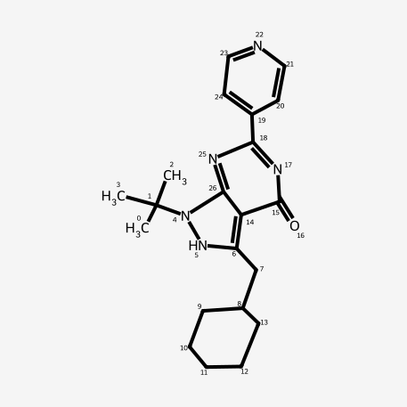 CC(C)(C)n1[nH]c(CC2CCCCC2)c2c(=O)nc(-c3ccncc3)nc1-2